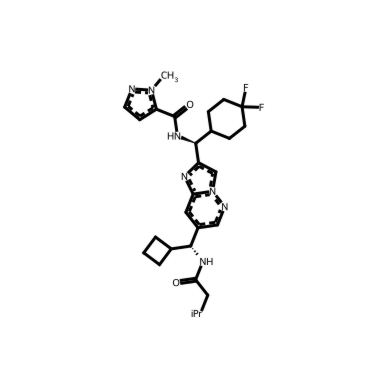 CC(C)CC(=O)N[C@@H](c1cnn2cc([C@@H](NC(=O)c3ccnn3C)C3CCC(F)(F)CC3)nc2c1)C1CCC1